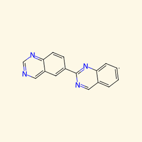 [c]1ccc2cnc(-c3ccc4ncncc4c3)nc2c1